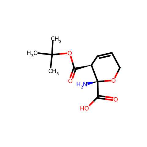 CC(C)(C)OC(=O)[C@H]1C=CCO[C@]1(N)C(=O)O